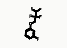 Fc1[c]ccc(OCC(F)(F)C(F)F)c1